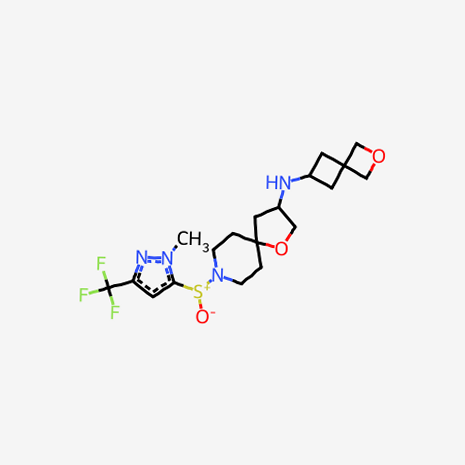 Cn1nc(C(F)(F)F)cc1[S+]([O-])N1CCC2(CC1)CC(NC1CC3(COC3)C1)CO2